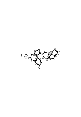 COC1Cc2cc(Cl)ccc2-n2c(nnc2N2CCC3(CC2)OCc2ccccc23)C1